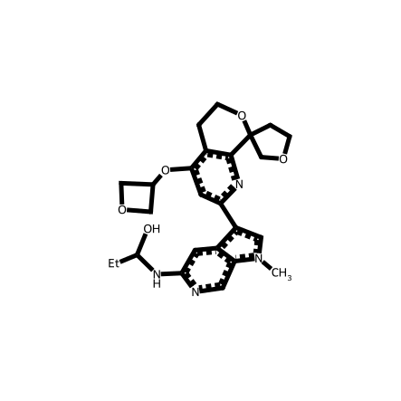 CCC(O)Nc1cc2c(-c3cc(OC4COC4)c4c(n3)C3(CCOC3)OCC4)cn(C)c2cn1